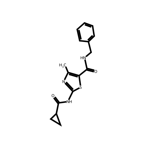 Cc1nc(NC(=O)C2CC2)sc1C(=O)NCc1ccccc1